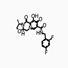 C[C@@H]1CO[C@H]2Cn3cc(C(=O)NCc4ccc(F)cc4F)c(=O)c(O)c3C(=O)N12